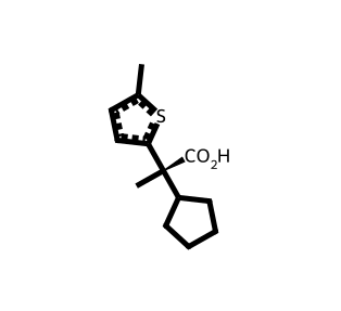 Cc1ccc([C@](C)(C(=O)O)C2CCCC2)s1